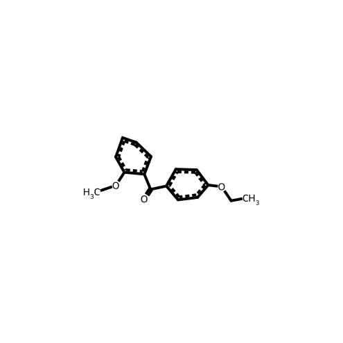 CCOc1ccc(C(=O)c2ccccc2OC)cc1